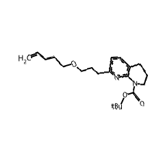 C=CCCCOCCCc1ccc2c(n1)N(C(=O)OC(C)(C)C)CCC2